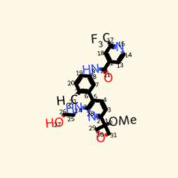 COC1(c2ccc(-c3cc(NC(=O)c4ccnc(C(F)(F)F)c4)ccc3C)c(NCCO)n2)COC1